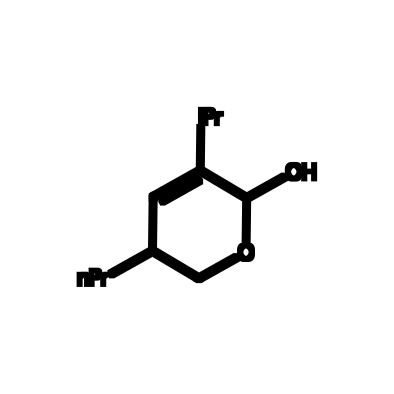 CCCC1C=C(C(C)C)C(O)OC1